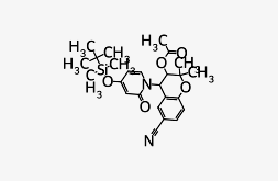 CC(=O)OC1C(n2ccc(O[Si](C)(C)C(C)(C)C)cc2=O)c2cc(C#N)ccc2OC1(C)C